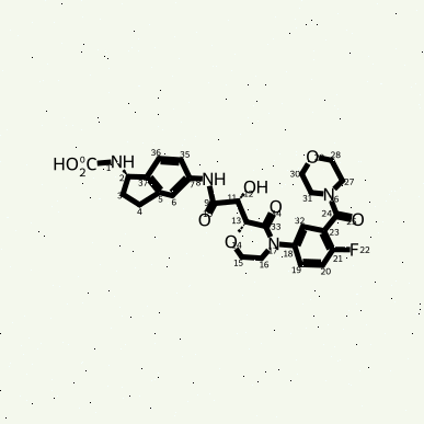 O=C(O)N[C@H]1CCc2cc(NC(=O)[C@H](O)[C@H]3OCCN(c4ccc(F)c(C(=O)N5CCOCC5)c4)C3=O)ccc21